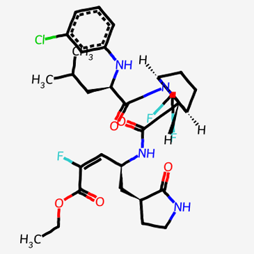 CCOC(=O)/C(F)=C\[C@H](C[C@@H]1CCNC1=O)NC(=O)[C@H]1[C@@H]2CC[C@@H](CC2(F)F)N1C(=O)[C@@H](CC(C)C)Nc1cccc(Cl)c1